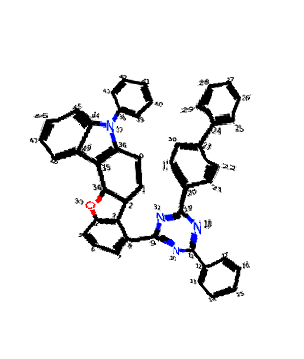 C1=CC2c3c(cccc3-c3nc(-c4ccccc4)nc(-c4ccc(-c5ccccc5)cc4)n3)OC2c2c1n(-c1ccccc1)c1ccccc21